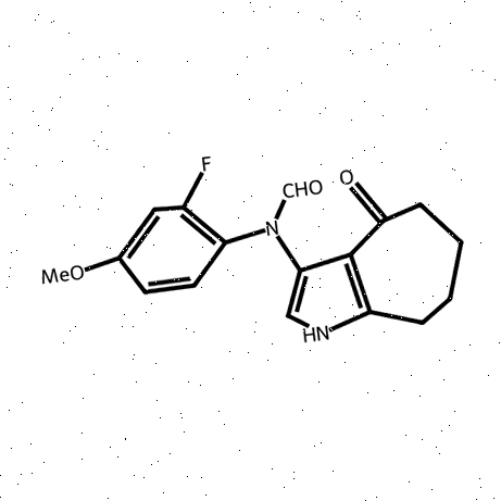 COc1ccc(N(C=O)c2c[nH]c3c2C(=O)CCCC3)c(F)c1